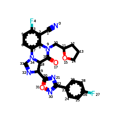 N#Cc1c(F)ccc2c1N(CC1CCCO1)C(=O)C1C(c3nc(-c4ccc(F)cc4)no3)N=CN21